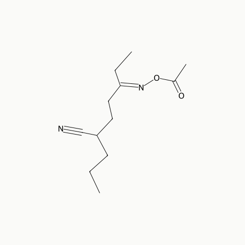 CCCC(C#N)CCC(CC)=NOC(C)=O